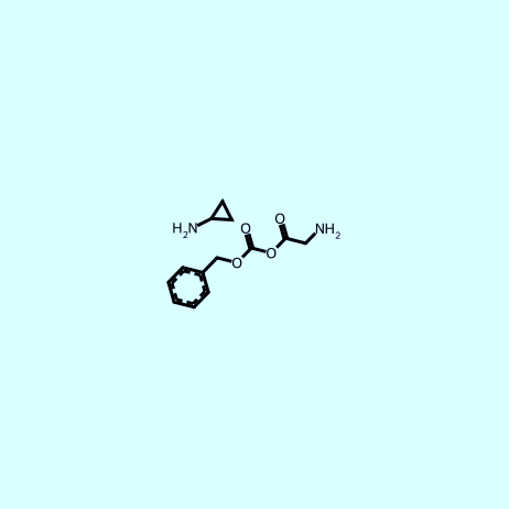 NC1CC1.NCC(=O)OC(=O)OCc1ccccc1